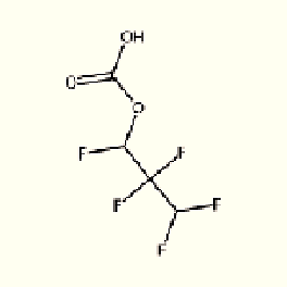 O=C(O)OC(F)C(F)(F)C(F)F